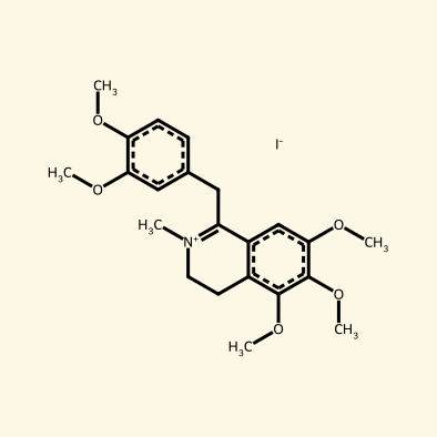 COc1ccc(CC2=[N+](C)CCc3c2cc(OC)c(OC)c3OC)cc1OC.[I-]